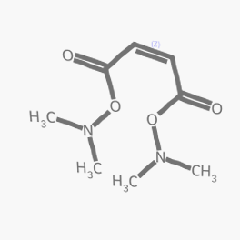 CN(C)OC(=O)/C=C\C(=O)ON(C)C